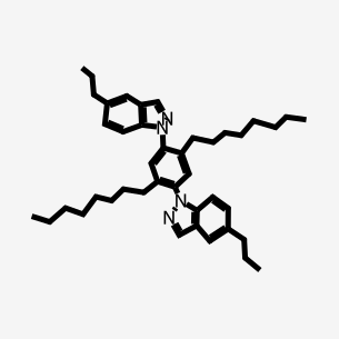 CCCCCCCCc1cc(-n2ncc3cc(CCC)ccc32)c(CCCCCCCC)cc1-n1ncc2cc(CCC)ccc21